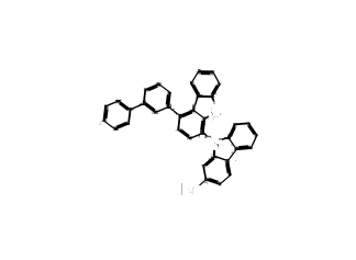 Brc1ccc2c3ccccc3n(-c3ccc(-c4cccc(-c5ccccc5)c4)c4c3oc3ccccc34)c2c1